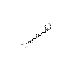 CCOCCOCCCN1CCCCC1